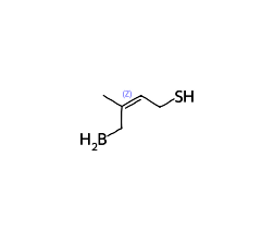 BC/C(C)=C\CS